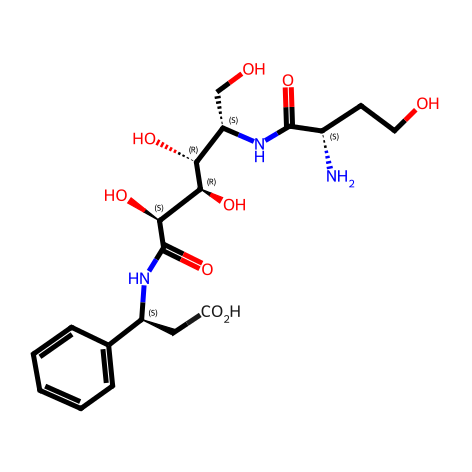 N[C@@H](CCO)C(=O)N[C@@H](CO)[C@@H](O)[C@@H](O)[C@H](O)C(=O)N[C@@H](CC(=O)O)c1ccccc1